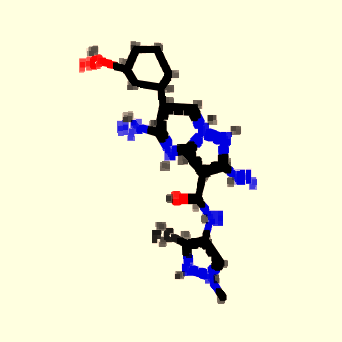 Cn1cc(NC(=O)c2c(N)nn3cc(C4CCCC(O)C4)c(N)nc23)c(C(F)(F)F)n1